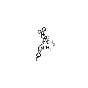 C[C@H]1CN(c2ccc(F)cc2)CCN1CC[C@H]1CC2(CCN(C(=O)N3CCCC3)CC2)C(=O)N1C